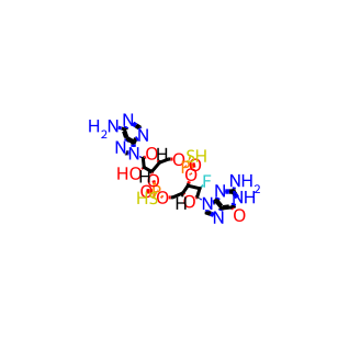 Nc1nc2c(ncn2[C@@H]2O[C@@H]3CO[P@@](=O)(S)O[C@H]4[C@@H](O)[C@H](n5cnc6c(N)ncnc65)O[C@@H]4CO[P@@](=O)(S)OC3[C@H]2F)c(=O)[nH]1